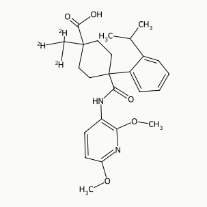 [2H]C([2H])([2H])C1(C(=O)O)CCC(C(=O)Nc2ccc(OC)nc2OC)(c2ccccc2C(C)C)CC1